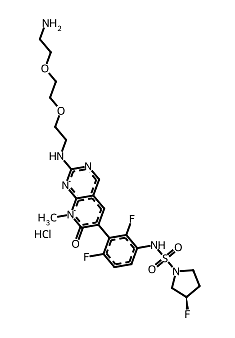 Cl.Cn1c(=O)c(-c2c(F)ccc(NS(=O)(=O)N3CC[C@@H](F)C3)c2F)cc2cnc(NCCOCCOCCN)nc21